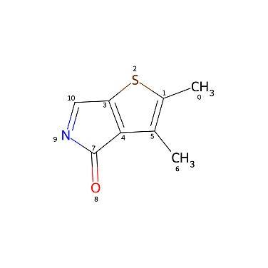 Cc1sc2c(c1C)C(=O)N=C2